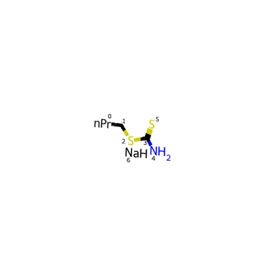 CCCCSC(N)=S.[NaH]